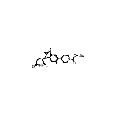 Cn1c(=O)n(C2CCC(=O)NC2=O)c2cc(F)c(C3CCN(C(=O)OC(C)(C)C)CC3)cc21